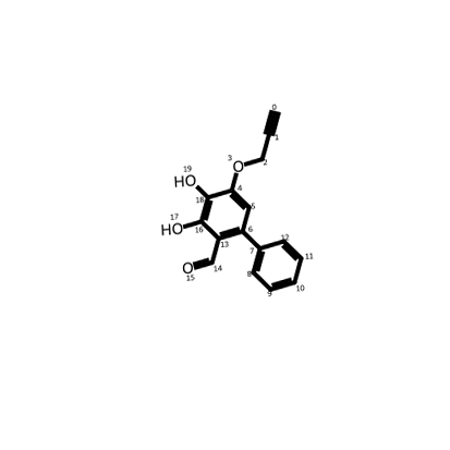 C#CCOc1cc(-c2ccccc2)c(C=O)c(O)c1O